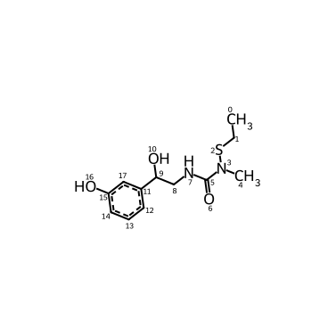 CCSN(C)C(=O)NCC(O)c1cccc(O)c1